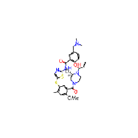 C=CC(O)N1CCN(C(=O)c2cc(Sc3cnc(NC(=O)c4cccc(CN(C)C)c4)s3)c(C)cc2OC)C[C@H]1CC